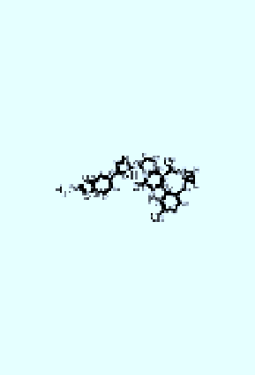 Cc1nc2cc(-c3cnc([C@H]4CCc5c6c(cc(=O)n54)-c4c(ccc(Cl)c4F)CC4(CC4)NC6=O)[nH]3)ccc2s1